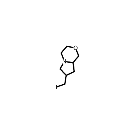 ICC1CC2COCCN2C1